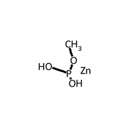 COP(O)O.[Zn]